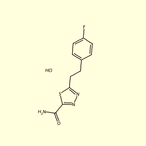 Cl.NC(=O)c1nnc(CCc2ccc(F)cc2)s1